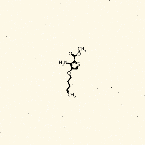 C=CCCCOc1csc(C(=O)OC)c1N